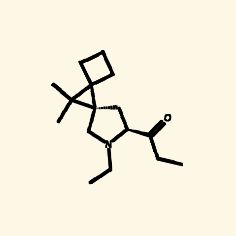 CCC(=O)[C@@H]1C[C@]2(CN1CC)C(C)(C)C21CCC1